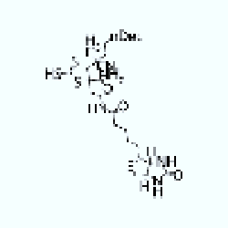 CCCCCCCCCCCCC(C)(C#N)CC(CCNC(=O)CCCC[C@H]1SC[C@H]2NC(=O)N[C@H]21)(SC(=S)S)C(N)=O